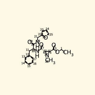 CCOC(=O)[C@@H]1[C@@H](C(=O)N[C@@H](Cc2ccccc2)C(=O)NCc2ccco2)N1C